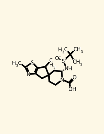 Cc1nc2c(s1)C(C)C1(CCN(C(=O)O)[C@@H](N[S@+]([O-])C(C)(C)C)C1)C2